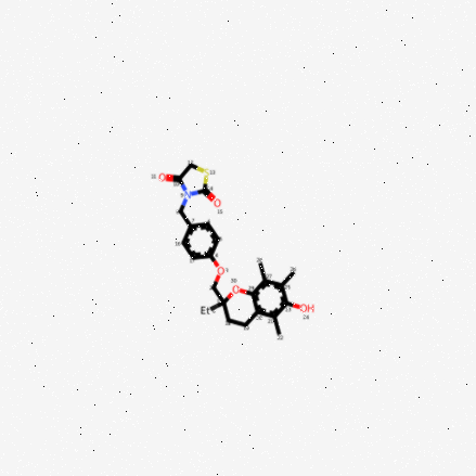 CCC1(COc2ccc(CN3C(=O)CSC3=O)cc2)CCc2c(C)c(O)c(C)c(C)c2O1